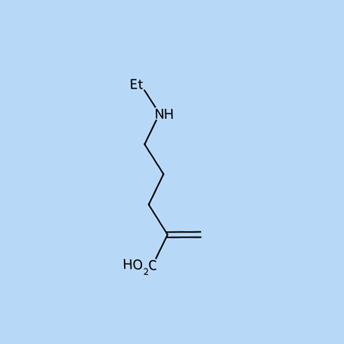 C=C(CCCNCC)C(=O)O